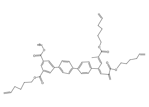 C=CCCCCOC(=O)C(=C)/C=C(\C=C(/C)C(=O)OCCCCC=C)c1ccc(-c2ccc(-c3cc(C(=O)OCCCC)cc(C(=O)OCCCCC=C)c3)cc2)cc1